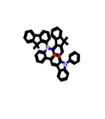 CC1(C)c2ccccc2-c2c(N(c3ccccc3-c3ccc4c(c3)c3ccccc3n4-c3ccccc3)c3cccc4c3C(C)(C)c3ccccc3-4)cccc21